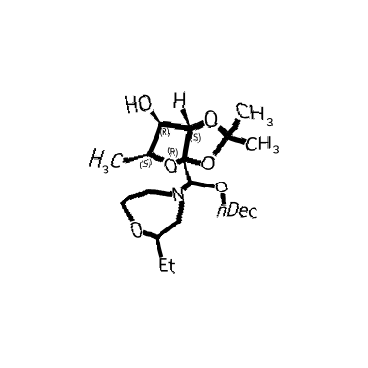 CCCCCCCCCCOC(N1CCOC(CC)C1)[C@@]12O[C@@H](C)[C@@H](O)[C@@H]1OC(C)(C)O2